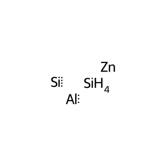 [Al].[SiH4].[Si].[Zn]